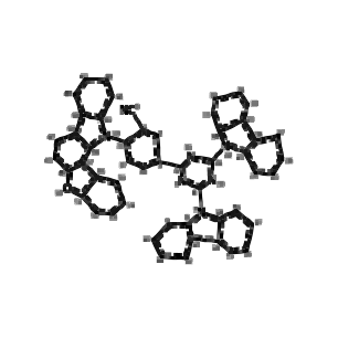 N#Cc1cc(-c2nc(-n3c4ccccc4c4ccccc43)nc(-n3c4ccccc4c4ccccc43)n2)ccc1-n1c2ccccc2c2ccc3oc4ccccc4c3c21